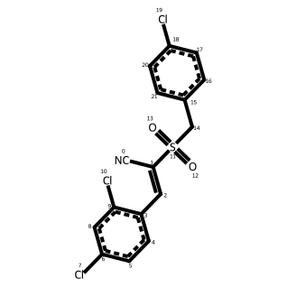 N#CC(=Cc1ccc(Cl)cc1Cl)S(=O)(=O)Cc1ccc(Cl)cc1